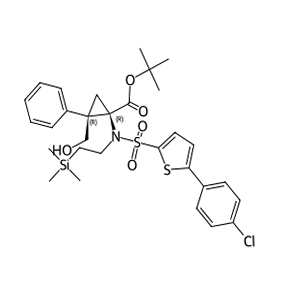 CC(C)(C)OC(=O)[C@@]1(N(CC[Si](C)(C)C)S(=O)(=O)c2ccc(-c3ccc(Cl)cc3)s2)C[C@@]1(CO)c1ccccc1